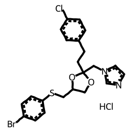 Cl.Clc1ccc(CCC2(Cn3ccnc3)OCC(CSc3ccc(Br)cc3)O2)cc1